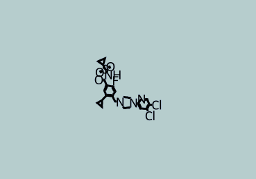 O=C(NS(=O)(=O)C1CC1)c1cc(C2CC2)c(CN2CCN(c3cc(Cl)c(Cl)cn3)CC2)cc1F